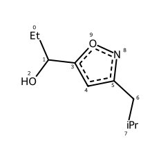 CCC(O)c1cc(CC(C)C)no1